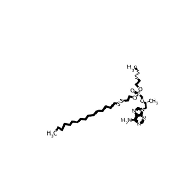 CCCCCCCCCCCCCCCCSSCCOP(=O)(CO[C@H](C)Cn1cnc2c(N)ncnc21)OCCSSC